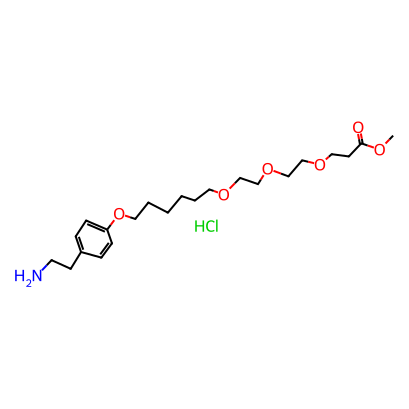 COC(=O)CCOCCOCCOCCCCCCOc1ccc(CCN)cc1.Cl